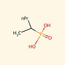 [CH2]CCC(C)P(=O)(O)O